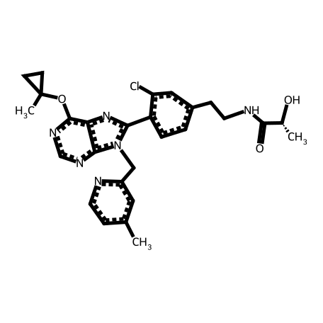 Cc1ccnc(Cn2c(-c3ccc(CCNC(=O)[C@@H](C)O)cc3Cl)nc3c(OC4(C)CC4)ncnc32)c1